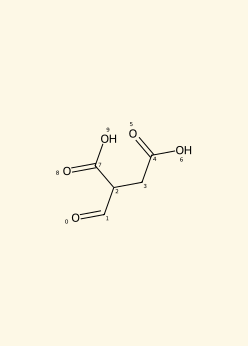 O=CC(CC(=O)O)C(=O)O